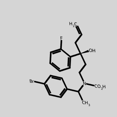 C=CC[C@](O)(CCN(C(=O)O)C(C)c1ccc(Br)cc1)c1ccccc1F